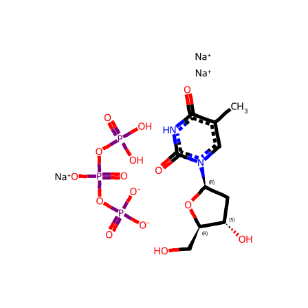 Cc1cn([C@H]2C[C@H](O)[C@@H](CO)O2)c(=O)[nH]c1=O.O=P([O-])([O-])OP(=O)([O-])OP(=O)(O)O.[Na+].[Na+].[Na+]